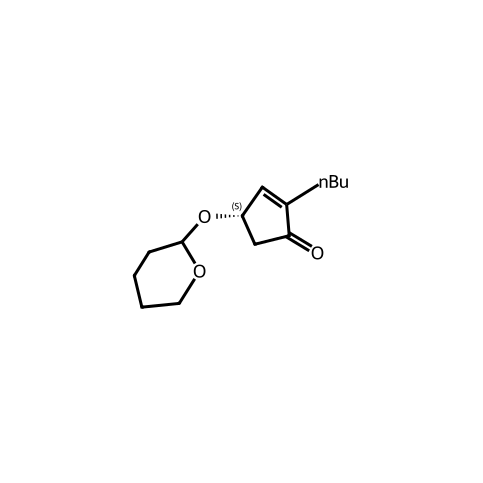 CCCCC1=C[C@@H](OC2CCCCO2)CC1=O